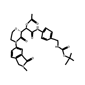 CC(=O)O[C@@H](C(=O)Nc1ccc(CNC(=O)OC(C)(C)C)cc1)[C@H]1OCCN(c2ccc3c(c2)C(=O)N(C)C3)C1=O